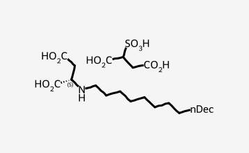 CCCCCCCCCCCCCCCCCCN[C@@H](CC(=O)O)C(=O)O.O=C(O)CC(C(=O)O)S(=O)(=O)O